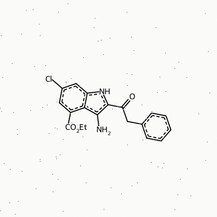 CCOC(=O)c1cc(Cl)cc2[nH]c(C(=O)Cc3ccccc3)c(N)c12